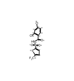 O=C(NS(=O)(=O)c1ccc(C(F)(F)F)s1)c1ccc(Cl)cc1Cl